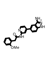 COc1ccccc1CC(=O)Nc1cc(-c2ccc3[nH]nc(N)c3c2)ccn1